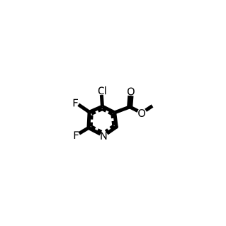 COC(=O)c1cnc(F)c(F)c1Cl